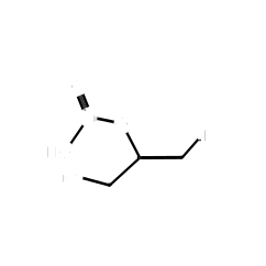 CC(C)CC(CC(C)C)[O][Ti](=[O])[OH]